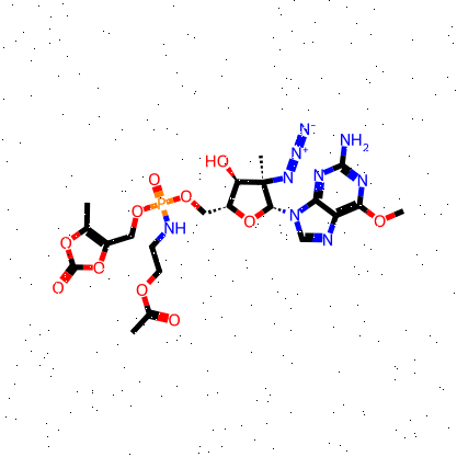 COc1nc(N)nc2c1ncn2[C@@H]1O[C@H](COP(=O)(NCCOC(C)=O)OCc2oc(=O)oc2C)[C@@H](O)[C@@]1(C)N=[N+]=[N-]